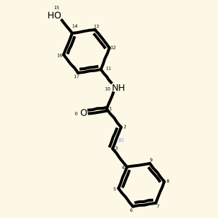 O=C(/C=C/c1ccccc1)Nc1ccc(O)cc1